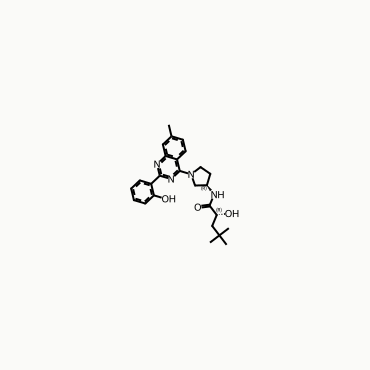 Cc1ccc2c(N3CC[C@@H](NC(=O)[C@H](O)CC(C)(C)C)C3)nc(-c3ccccc3O)nc2c1